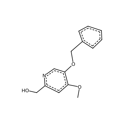 COc1cc(CO)ncc1OCc1ccccc1